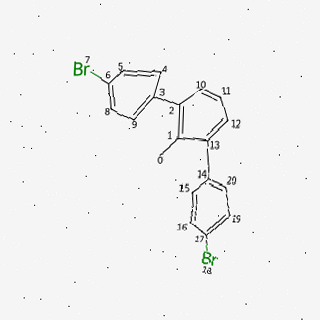 Cc1c(-c2ccc(Br)cc2)cccc1-c1ccc(Br)cc1